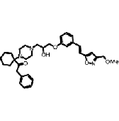 COCc1cc(/C=C/c2cccc(OCC(O)CN3CCN(C4(C(=O)Cc5ccccc5)CCCCC4)CC3)c2)on1